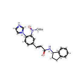 CO[N+](=O)c1cc(/C=C/C(=O)NC2CCc3ccccc32)ccc1-n1ccnc1